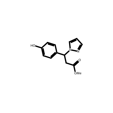 COC(=O)CC(c1ccc(O)cc1)n1cccn1